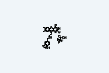 Cc1cc2nc3c(=O)[nH]c(=O)nc-3n(CCNCc3ccc4[nH]cnc4c3)c2cc1C.O=C(O)C(F)(F)F